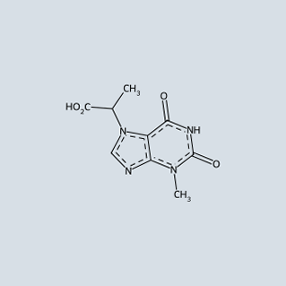 CC(C(=O)O)n1cnc2c1c(=O)[nH]c(=O)n2C